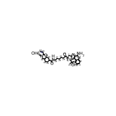 CCN(Cc1nc2c(N)nc3ccccc3c2n1CC(C)(C)O)C(=O)CCCCCNC(=O)C1CCC(CN(C)C(=O)/C=C\C=O)CC1